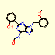 COc1ccccc1Cn1cnc2c(N[C]=O)nc(-c3ccccc3O)nc21